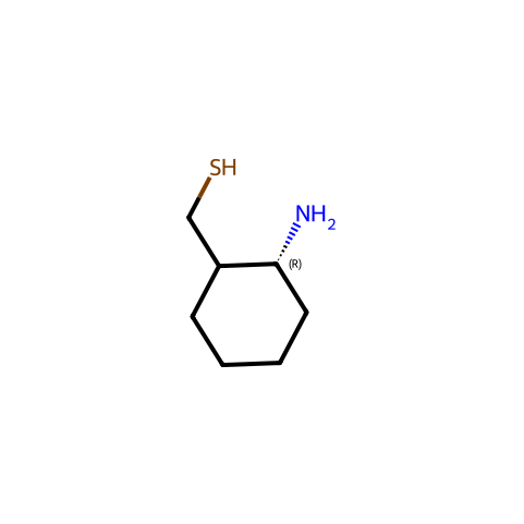 N[C@@H]1CCCCC1CS